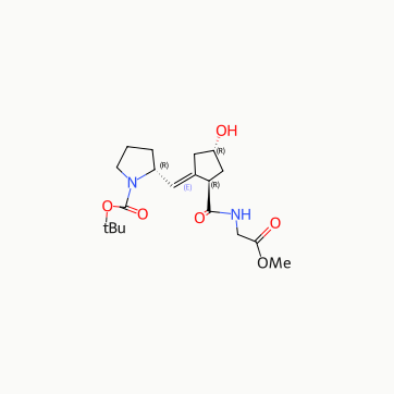 COC(=O)CNC(=O)[C@@H]1C[C@@H](O)C/C1=C\[C@H]1CCCN1C(=O)OC(C)(C)C